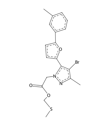 CSCOC(=O)Cn1nc(C)c(Br)c1-c1ccc(-c2cccc(C)c2)o1